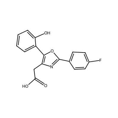 O=C(O)Cc1nc(-c2ccc(F)cc2)oc1-c1ccccc1O